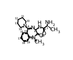 C[C@H](N)C(=O)NC1N=C(N2CCCCC2)c2ccccc2N(C)C1=O